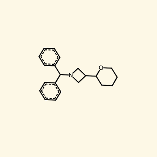 c1ccc(C(c2ccccc2)N2CC(C3CCCCO3)C2)cc1